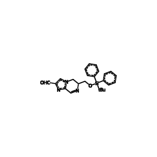 CC(C)(C)[Si](OCC1Cn2cc(C=O)nc2C=N1)(c1ccccc1)c1ccccc1